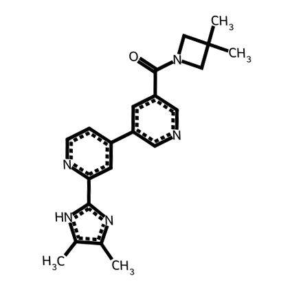 Cc1nc(-c2cc(-c3cncc(C(=O)N4CC(C)(C)C4)c3)ccn2)[nH]c1C